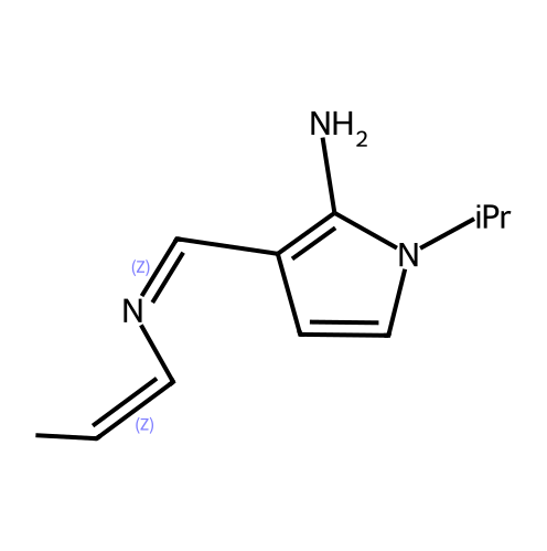 C/C=C\N=C/c1ccn(C(C)C)c1N